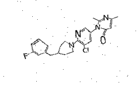 Cc1cc(=O)n(-c2cnc(N3CCC(Cc4cccc(F)c4)CC3)c(Cl)c2)c(C)n1